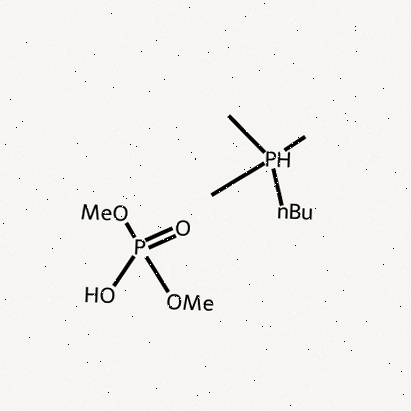 CCCC[PH](C)(C)C.COP(=O)(O)OC